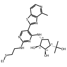 CCSCCNc1ncc(-c2nc3c(C)nccc3s2)c(N[C@@H]2C[C@H](C(C)(C)O)[C@@H](O)[C@H]2O)n1